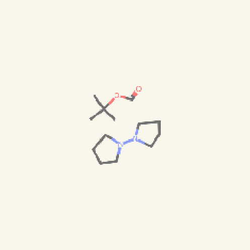 C1CCN(N2CCCC2)C1.CC(C)(C)OC=O